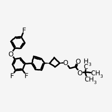 CC(C)(C)OC(=O)CO[C@H]1C[C@@H](c2ccc(-c3cc(Oc4ccc(F)cc4)cc(F)c3F)cc2)C1